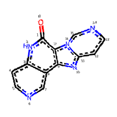 O=c1[nH]c2ccncc2c2nc3ccncn3c12